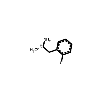 C[C@H](N)Cc1ccccc1Cl